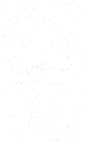 COc1ccc(C)cc1C(=O)Nc1ccc(C=CC(=O)O)cc1